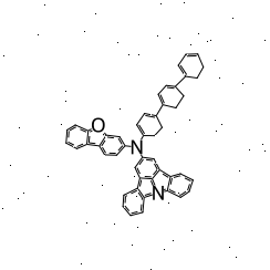 C1=CCCC(C2=CC=C(C3=CC=C(N(c4ccc5c(c4)oc4ccccc45)c4cc5c6ccccc6n6c7ccccc7c(c4)c56)CC3)CC2)=C1